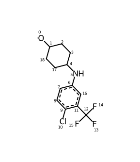 [O]C1CCC(Nc2ccc(Cl)c(C(F)(F)F)c2)CC1